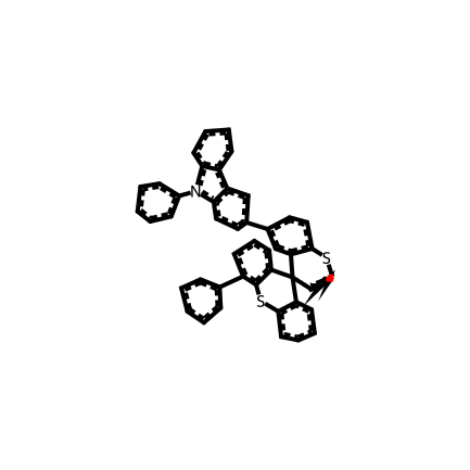 c1ccc(-c2cccc3c2Sc2ccccc2C32c3ccccc3Sc3ccc(-c4ccc5c(c4)c4ccccc4n5-c4ccccc4)cc32)cc1